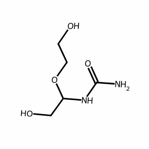 NC(=O)NC(CO)OCCO